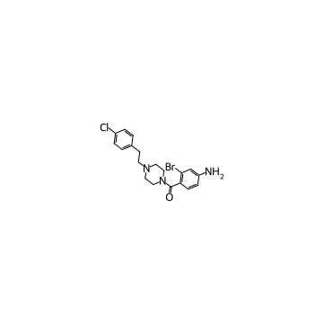 Nc1ccc(C(=O)N2CCN(CCc3ccc(Cl)cc3)CC2)c(Br)c1